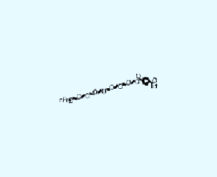 CCCOCCOCCOCCOCCOCCOCCOCCOCCOC(=O)c1ccc(C(=O)CC)cc1